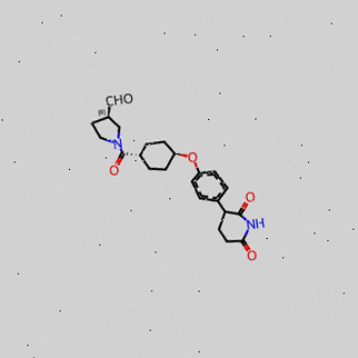 O=C[C@@H]1CCN(C(=O)[C@H]2CC[C@H](Oc3ccc(C4CCC(=O)NC4=O)cc3)CC2)C1